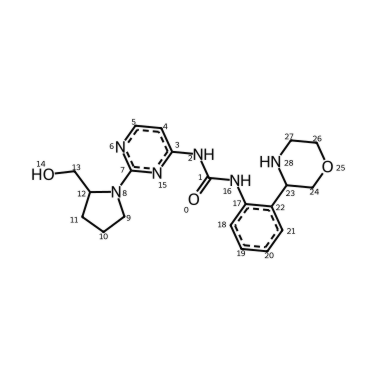 O=C(Nc1ccnc(N2CCCC2CO)n1)Nc1ccccc1C1COCCN1